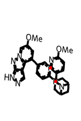 COc1cc(-c2ccc(N3CC4CC(C3)N4Cc3ccc(OC)nc3)nc2)c2c3cn[nH]c3nn2c1